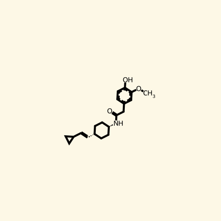 COc1cc(CC(=O)N[C@H]2CC[C@@H](C=CC3CC3)CC2)ccc1O